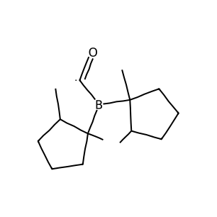 CC1CCCC1(C)B([C]=O)C1(C)CCCC1C